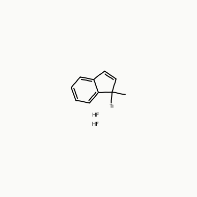 C[C]1([Ti])C=Cc2ccccc21.F.F